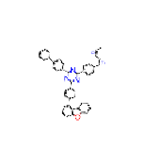 C/C=C\C=C/c1ccc(-c2nc(-c3ccc(-c4ccccc4)cc3)nc(-c3ccc(-c4cccc5oc6ccccc6c45)cc3)n2)cc1